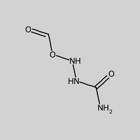 NC(=O)NNOC=O